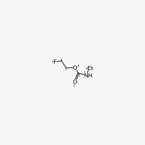 CCNC(=O)OCCF